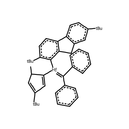 CC1C=C(C(C)(C)C)C=[C]1[Hf](=[C](c1ccccc1)c1ccccc1)[c]1c(C(C)(C)C)ccc2c1Cc1cc(C(C)(C)C)ccc1-2